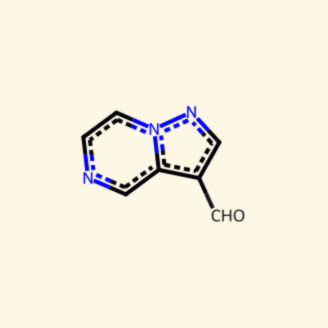 O=Cc1cnn2ccncc12